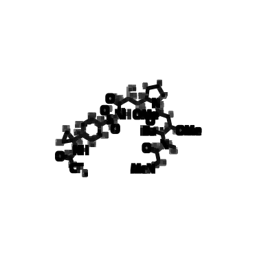 CCC(C)C(C(CC(=O)N1CCCC1C(OC)C(C)C(=O)NS(=O)(=O)c1ccc(C2(NC(=O)C(F)(F)F)CC2)cc1)OC)N(C)C(=O)CNC